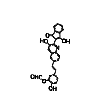 O=COc1cc(/C=C/c2ccc3nc(C4=C(O)c5ccccc5C4=O)c(O)cc3c2)ccc1O